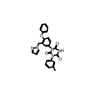 Cc1cccc(-n2c(=O)[nH]c(=O)n(-c3ccc(Oc4ccccc4)c(Cn4cccn4)c3)c2=O)c1